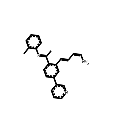 C/C(=N\c1ccccc1C)c1ccc(-c2cccnc2)cc1/C=C/C=C\N